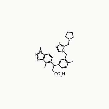 Cc1ccc(C(CC(=O)O)c2ccc3c(nnn3C)c2C)cc1Cn1ccnc1CN1CCCC1